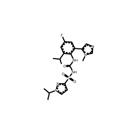 CC(C)c1cc(F)cc(-c2cncn2C)c1NC(=O)NS(=O)(=O)c1ccn(C(C)C)n1